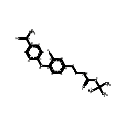 CC(C)(C)OC(=O)NCCc1ccc(Oc2ccc(C(N)=O)cn2)c(I)c1